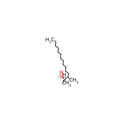 CCCCCCCCCCCCC(C)[SiH](C)O